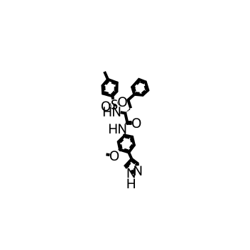 COc1cc(NC(=O)[C@@H](CCc2ccccc2)NS(=O)(=O)c2ccc(C)cc2)ccc1-c1cn[nH]c1